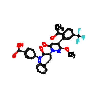 COc1nn(C(Cc2ccccc2)C(=O)Nc2ccc(C(=O)O)cc2)c(=O)cc1-c1cc(C(F)(F)F)ccc1C(C)=O